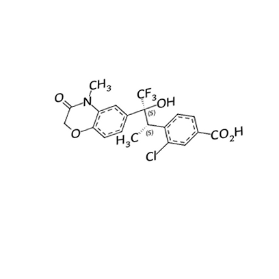 C[C@@H](c1ccc(C(=O)O)cc1Cl)[C@](O)(c1ccc2c(c1)N(C)C(=O)CO2)C(F)(F)F